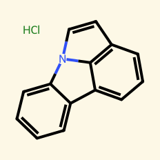 Cl.c1ccc2c(c1)c1cccc3ccn2c31